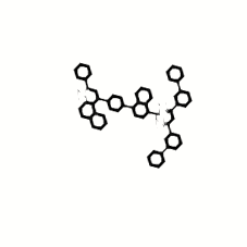 c1ccc(-c2cccc(-c3cc(-c4cccc(-c5ccccc5)c4)nc(-c4ccc(-c5ccc(-c6cc(-c7ccccc7)nc7ccc8ccccc8c67)cc5)c5ccccc45)n3)c2)cc1